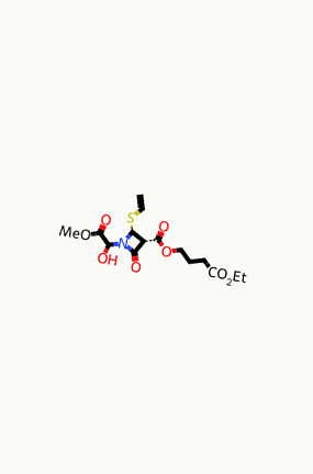 C=CS[C@@H]1[C@H](C(=O)OCCCC(=O)OCC)C(=O)N1C(O)C(=O)OC